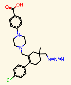 CC1(CN=[N+]=[N-])CCC(c2ccc(Cl)cc2)=C(CN2CCN(c3ccc(C(=O)O)cc3)CC2)C1